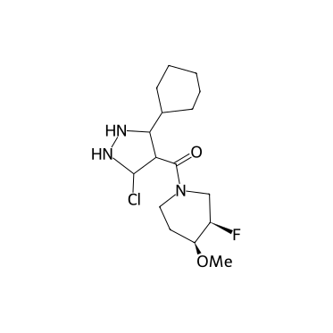 CO[C@H]1CCN(C(=O)C2C(Cl)NNC2C2CCCCC2)C[C@H]1F